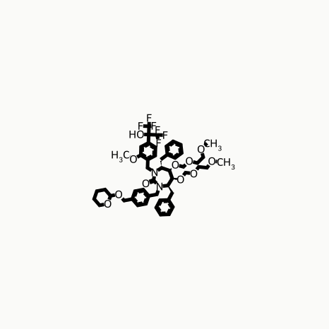 COCCOCO[C@@H]1[C@@H](OCOCCOC)[C@@H](Cc2ccccc2)N(Cc2ccc(C(O)(C(F)(F)F)C(F)(F)F)cc2OC)C(=O)N(Cc2ccc(COC3CCCCO3)cc2)[C@@H]1Cc1ccccc1